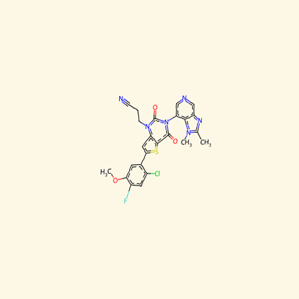 COc1cc(-c2cc3c(s2)c(=O)n(-c2cncc4nc(C)n(C)c24)c(=O)n3CCC#N)c(Cl)cc1F